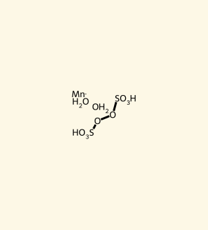 O.O.O=S(=O)(O)OOS(=O)(=O)O.[Mn]